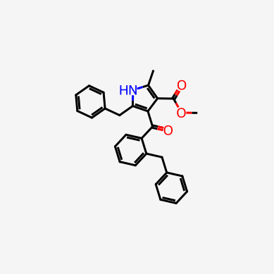 COC(=O)c1c(C)[nH]c(Cc2ccccc2)c1C(=O)c1ccccc1Cc1ccccc1